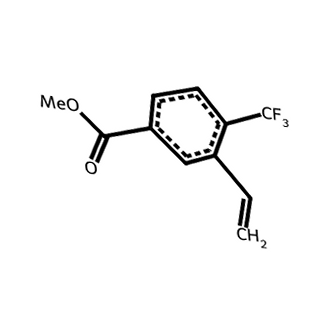 C=Cc1cc(C(=O)OC)ccc1C(F)(F)F